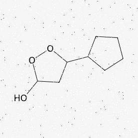 OC1CC(C2CCCC2)OO1